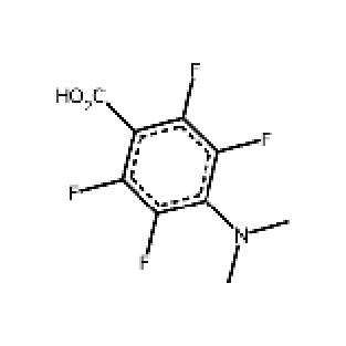 CN(C)c1c(F)c(F)c(C(=O)O)c(F)c1F